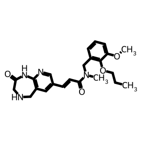 CCCOc1c(CN(C)C(=O)/C=C/c2cnc3c(c2)CNCC(=O)N3)cccc1OC